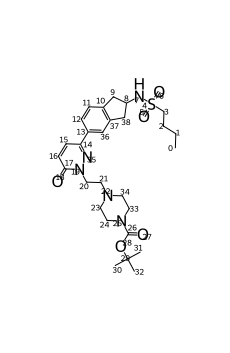 CCCCS(=O)(=O)NC1Cc2ccc(-c3ccc(=O)n(CCN4CCN(C(=O)OC(C)(C)C)CC4)n3)cc2C1